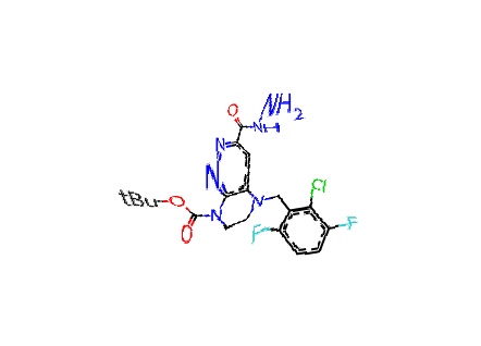 CC(C)(C)OC(=O)N1CCN(Cc2c(F)ccc(F)c2Cl)c2cc(C(=O)NN)nnc21